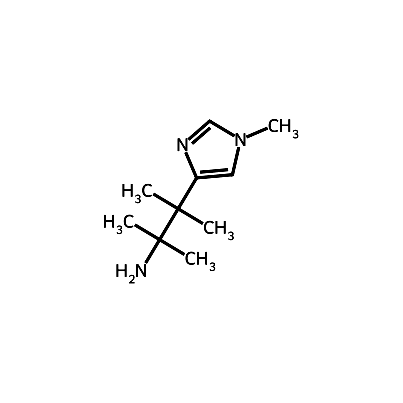 Cn1cnc(C(C)(C)C(C)(C)N)c1